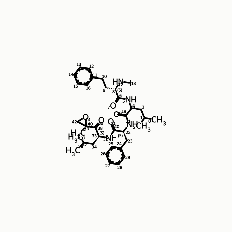 CC(C)C[C@H](NC(=O)[C@H](CCc1ccccc1)NI)C(=O)N[C@@H](Cc1ccccc1)C(=O)N[C@@H](CC(C)C)C(=O)[C@@]1(C)CO1